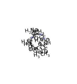 CNC1=C2C[C@@H](C)C[C@H](OC)[C@H](O)[C@@H](C)/C=C(\C)[C@H](OC(N)=O)[C@@H](C)/C=C\C=C(/C)C(=O)NC(=CC1=O)C2=O